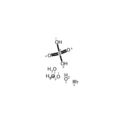 O.O.O.O.O=S(=O)(O)O.[Rh]